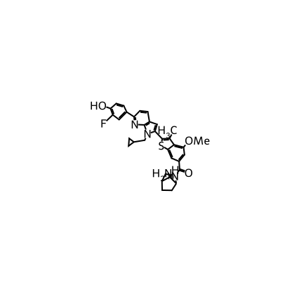 COc1cc(C(=O)N2CC3CCC2[C@@H]3N)cc2sc(-c3cc4ccc(-c5ccc(O)c(F)c5)nc4n3CC3CC3)c(C)c12